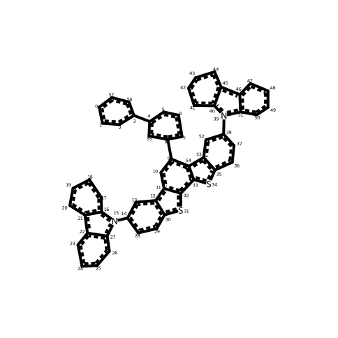 c1ccc(-c2cccc(-c3cc4c5cc(-n6c7ccccc7c7ccccc76)ccc5sc4c4sc5ccc(-n6c7ccccc7c7ccccc76)cc5c34)c2)cc1